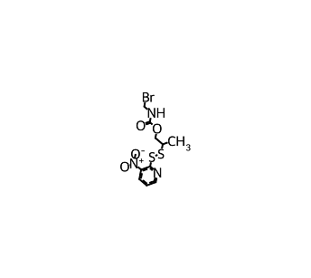 CC(COC(=O)NCBr)SSc1ncccc1[N+](=O)[O-]